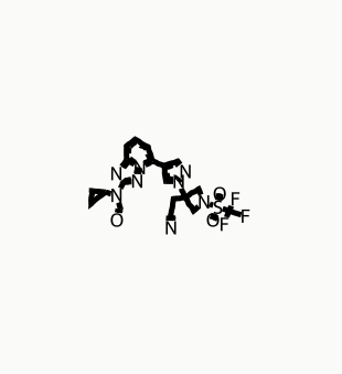 N#CCC1(n2cc(-c3cccc4nc(N(C=O)C5CC5)nn34)cn2)CN(S(=O)(=O)C(F)(F)F)C1